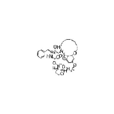 COc1ccc2c(c1)OCCC=CCCCCN(C[C@@H](O)[C@H](Cc1ccccc1)NC(=O)O[C@H]1CO[C@H]3OCC[C@H]31)S2(=O)=O